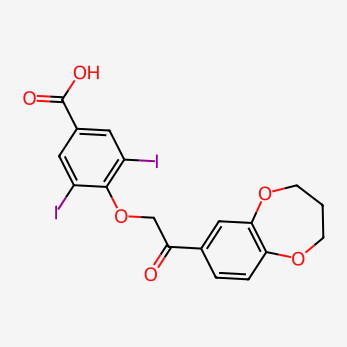 O=C(O)c1cc(I)c(OCC(=O)c2ccc3c(c2)OCCCO3)c(I)c1